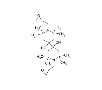 CC1(C)CC(O)(C2(O)CC(C)(C)N(CC3CO3)C(C)(C)C2)CC(C)(C)N1CC1CO1